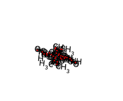 CCCC(C(=O)N1CCN(CC(=O)NCC2CO2)CC1)N1C(=O)c2cc(Oc3ccc(C)cc3)c3c4c(Oc5ccc(C)cc5)cc5c6c(cc(Oc7ccc(C)cc7)c(c7c(Oc8ccc(C)cc8)cc(c2c37)C1=O)c64)C(=O)N(C(CCC)C(=O)N1CCN(CC(=O)NCC2CO2)CC1)C5=O